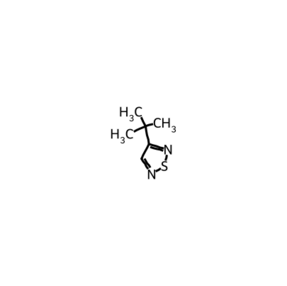 CC(C)(C)c1cnsn1